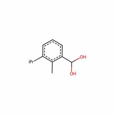 Cc1c(C(C)C)cccc1C(O)O